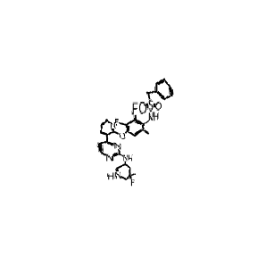 Cc1cc(Oc2ncccc2-c2ccnc(NC3CNC[C@@](C)(F)C3)n2)c(F)c(F)c1NS(=O)(=O)Cc1ccccc1